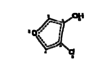 Oc1cocc1Cl